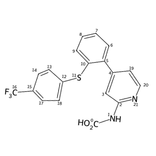 O=C(O)Nc1cc(-c2ccccc2Sc2ccc(C(F)(F)F)cc2)ccn1